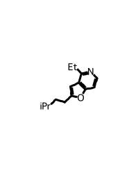 CCc1nccc2oc(CCC(C)C)cc12